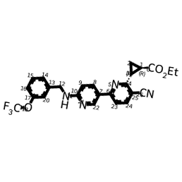 CCOC(=O)[C@@H]1C[C@H]1c1nc(-c2ccc(NCc3cccc(OC(F)(F)F)c3)nc2)ccc1C#N